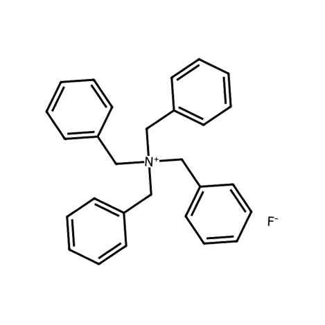 [F-].c1ccc(C[N+](Cc2ccccc2)(Cc2ccccc2)Cc2ccccc2)cc1